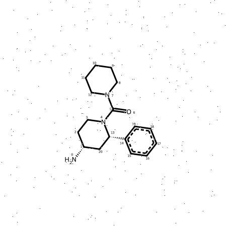 N[C@@H]1CCN(C(=O)N2CCCCC2)[C@H](c2ccccc2)C1